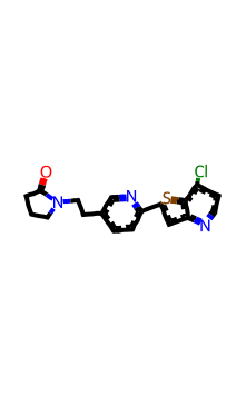 O=C1CCCN1CCc1ccc(-c2cc3nccc(Cl)c3s2)nc1